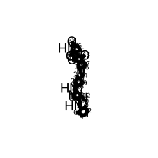 Cc1cccc(C)c1Nc1nn(C)c2nc(Nc3ccc4c(c3)CN(c3ccc5c(c3)C(=O)N(C3CCC(=O)NC3=O)C5=O)C4)ncc12